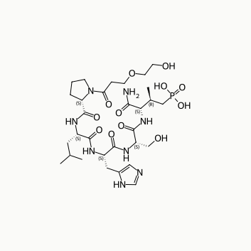 CC(C)C[C@H](NC(=O)[C@@H]1CCCN1C(=O)CCOCCO)C(=O)N[C@@H](Cc1cnc[nH]1)C(=O)N[C@@H](CO)C(=O)N[C@H](C(N)=O)[C@@H](C)CP(=O)(O)O